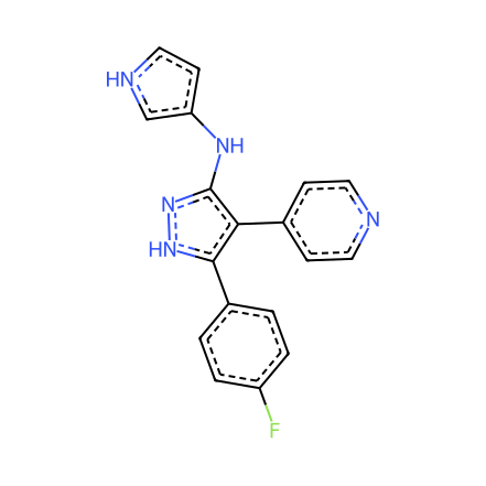 Fc1ccc(-c2[nH]nc(Nc3cc[nH]c3)c2-c2ccncc2)cc1